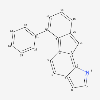 C1=Nc2c3c(ccc2=C1)=c1c(-c2ccccc2)cccc1=C3